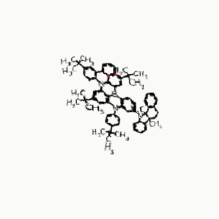 CC(C)(C)c1ccc(N2c3cc(N4c5ccccc5C5(C)CCc6ccccc6C45C)ccc3B3c4cc(C(C)(C)C)ccc4N(c4ccc(C(C)(C)C)cc4-c4ccccc4)c4cc(C(C)(C)C)cc2c43)cc1